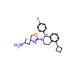 N[C@H]1C[C@@]2(COC(N3CCc4c(C5CCC5)cccc4[C@@H]3c3ccc(F)cc3)=N2)C1